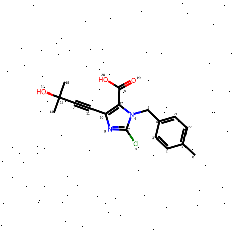 Cc1ccc(Cn2c(Cl)nc(C#CC(C)(C)O)c2C(=O)O)cc1